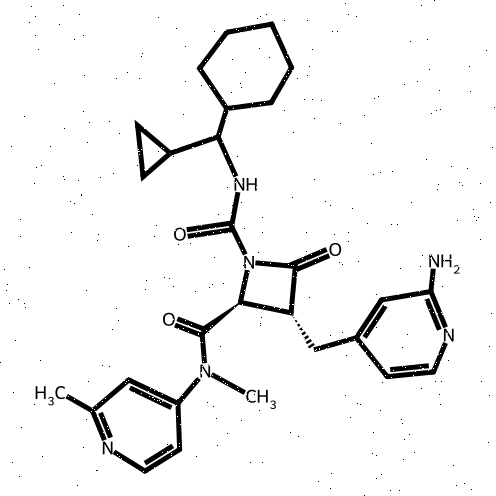 Cc1cc(N(C)C(=O)[C@@H]2[C@@H](Cc3ccnc(N)c3)C(=O)N2C(=O)NC(C2CCCCC2)C2CC2)ccn1